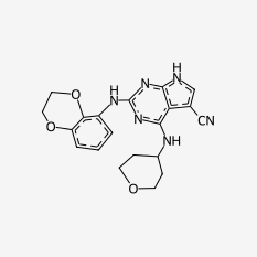 N#Cc1c[nH]c2nc(Nc3cccc4c3OCCO4)nc(NC3CCOCC3)c12